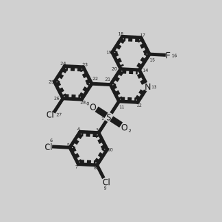 O=S(=O)(c1cc(Cl)cc(Cl)c1)c1cnc2c(F)cccc2c1-c1cccc(Cl)c1